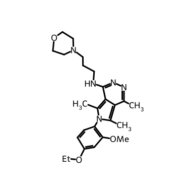 CCOc1ccc(-n2c(C)c3c(C)nnc(NCCCN4CCOCC4)c3c2C)c(OC)c1